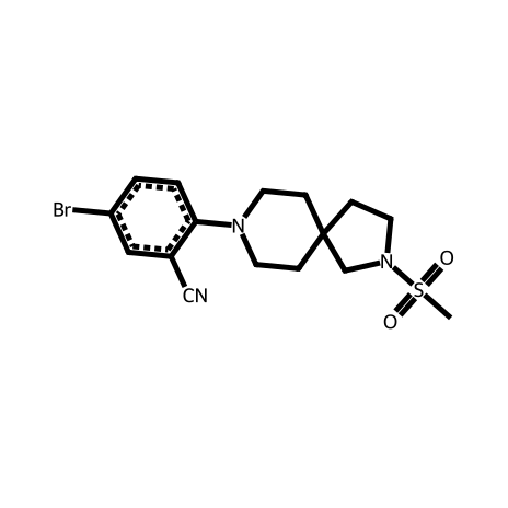 CS(=O)(=O)N1CCC2(CCN(c3ccc(Br)cc3C#N)CC2)C1